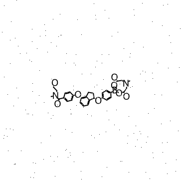 COCCN(C)C(=O)c1ccc(Oc2cccc3c2CC[C@H]3Oc2ccc(B3OC(=O)CN(C)CC(=O)O3)cc2)cc1